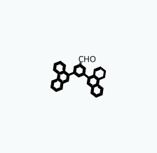 O=Cc1cc(-c2cc3ccccc3c3c2C=CCC3)cc(-c2cc3ccccc3c3ccccc23)c1